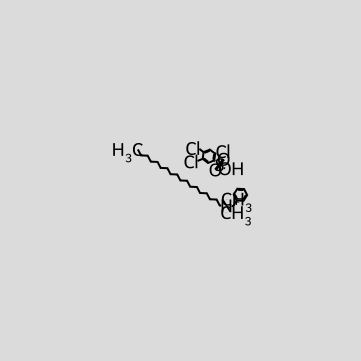 CCCCCCCCCCCCCCCCCC[N+](C)(C)Cc1ccccc1.O=S(=O)(O)c1cc(Cl)c(Cl)cc1Cl